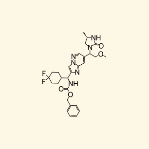 COCC(c1cnn2cc([C@@H](NC(=O)OCc3ccccc3)C3CCC(F)(F)CC3)nc2c1)N1C[C@@H](C)NC1=O